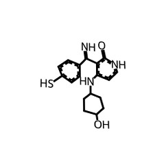 N=C(c1ccc(S)cc1)c1c(NC2CCC(O)CC2)cc[nH]c1=O